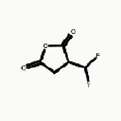 O=C1CC(C(F)F)C(=O)O1